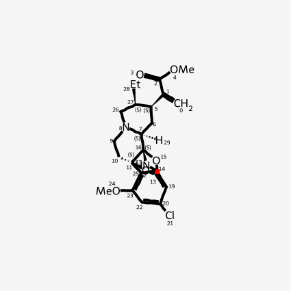 C=C(C(=O)OC)[C@H]1C[C@@H]2N(CC[C@@]34OCCO[C@@]23Nc2cc(Cl)cc(OC)c24)C[C@H]1CC